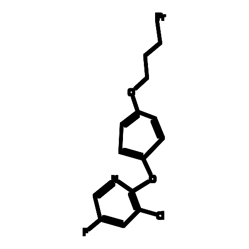 CC(C)CCCOc1ccc(Oc2ncc(F)cc2Cl)cc1